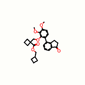 COc1ccc(-c2cccc3c2CCC3=O)c(OCC2(C(=O)OCC3CCC3)CCC2)c1OC